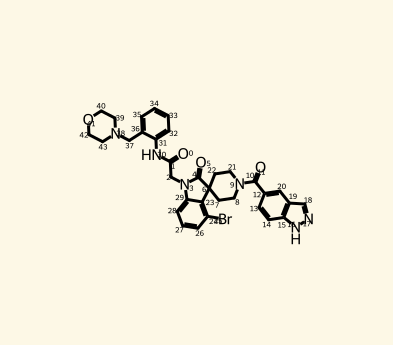 O=C(CN1C(=O)C2(CCN(C(=O)c3ccc4[nH]ncc4c3)CC2)c2c(Br)cccc21)Nc1ccccc1CN1CCOCC1